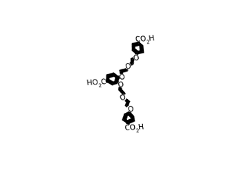 O=C(O)c1ccc(OCCOCCOc2ccc(C(=O)O)cc2OCCOCCOc2ccc(C(=O)O)cc2)cc1